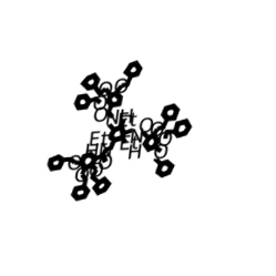 CCc1c(CNC(=O)c2ccc(OCc3ccccc3)c(OCc3ccccc3)c2OCc2ccccc2)c(CC)c(CNC(=O)c2ccc(OCc3ccccc3)c(OCc3ccccc3)c2OCc2ccccc2)c(CC)c1CNC(=O)c1ccc(OCc2ccccc2)c(OCc2ccccc2)c1OCc1ccccc1